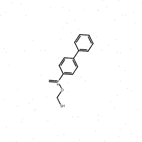 C=[PH](OCS)c1ccc(-c2ccccc2)cc1